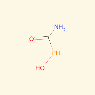 NC(=O)PO